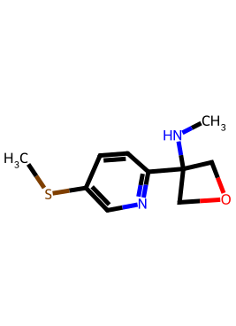 CNC1(c2ccc(SC)cn2)COC1